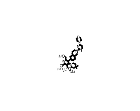 CC1(C)CCN(c2c(-c3ccc4c(c3)CCN(c3nccc(N5CCOCC5)n3)C4)c(CO)nc(Cl)c2[C@H](OC(C)(C)C)C(=O)O)CC1